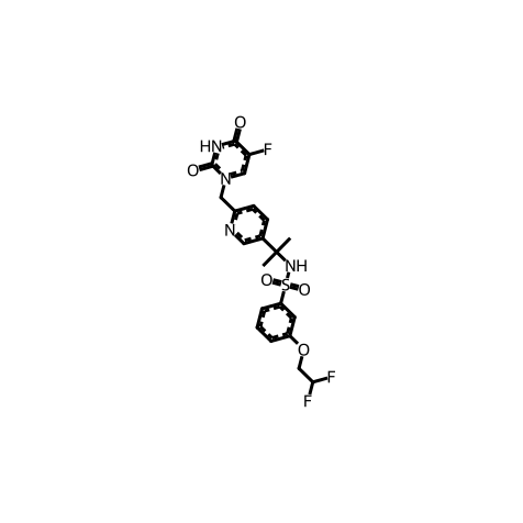 CC(C)(NS(=O)(=O)c1cccc(OCC(F)F)c1)c1ccc(Cn2cc(F)c(=O)[nH]c2=O)nc1